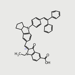 CCN1/C(=C/c2ccc3c(c2)C2CCCC2N3c2ccc(C=C(c3ccccc3)c3ccccc3)cc2)C(=O)c2cc(C(=O)O)ccc21